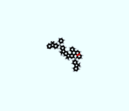 CC1(C)c2ccccc2-c2ccc(N(c3ccccc3)c3ccc4c(c3)C(C)(C)c3cc5c(cc3-4)-c3c(cc(N(c4ccccc4)c4ccc6c(c4)C(C)(C)c4ccccc4-6)c4c6ccccc6c6ccccc6c34)C5(C)C)cc21